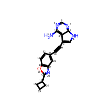 Nc1ncnc2[nH]cc(C#Cc3ccc4oc(C5CCC5)nc4c3)c12